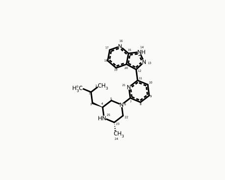 CC(C)C[C@H]1CN(c2cccc(-c3n[nH]c4ncccc34)n2)C[C@H](C)N1